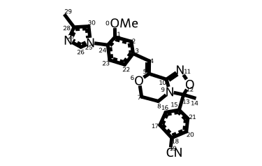 COc1cc(/C=C2\OCCN3C2=NOC3(C)c2ccc(C#N)cc2)ccc1-n1cnc(C)c1